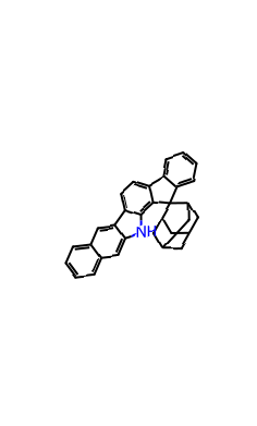 c1ccc2c(c1)-c1ccc3c([nH]c4cc5ccccc5cc43)c1C21C2CC3CC(C2)CC1C3